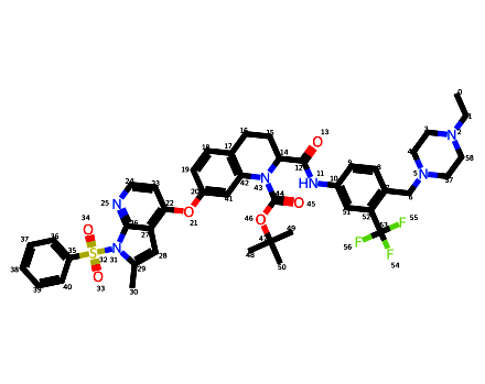 CCN1CCN(Cc2ccc(NC(=O)C3CCc4ccc(Oc5ccnc6c5cc(C)n6S(=O)(=O)c5ccccc5)cc4N3C(=O)OC(C)(C)C)cc2C(F)(F)F)CC1